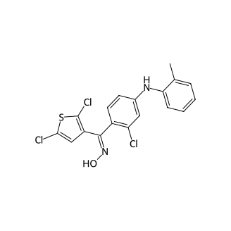 Cc1ccccc1Nc1ccc(C(=NO)c2cc(Cl)sc2Cl)c(Cl)c1